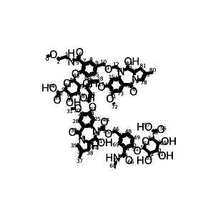 COCCNC(=O)c1cc(COCN2c3cc(OCCCCCOc4cc5c(cc4OC)C(=O)N4C=C(C)C[C@H]4C(O)N5C(=O)OCc4ccc(O[C@@H]5O[C@H](C(=O)O)[C@@H](O)[C@H](O)[C@H]5O)c(C(=O)NI)c4)c(OC)cc3C(=O)N3C=C(C)CC3C2O)ccc1O[C@@H]1O[C@H](C(=O)O)[C@@H](O)[C@H](O)[C@H]1O